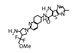 COCC(F)(F)C1CN(c2ccc3c(n2)CCC(NC(=O)c2sc4nc(C)cnc4c2N)C3)CC1N